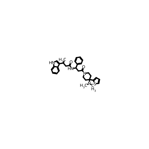 CC(CC(=O)NC(CC(=O)N1CCC(c2cccs2)(N(C)C)CC1)c1ccccc1)c1c[nH]c2ccccc12